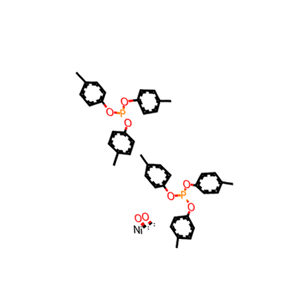 Cc1ccc(OP(Oc2ccc(C)cc2)Oc2ccc(C)cc2)cc1.Cc1ccc(OP(Oc2ccc(C)cc2)Oc2ccc(C)cc2)cc1.[C]=O.[C]=O.[Ni]